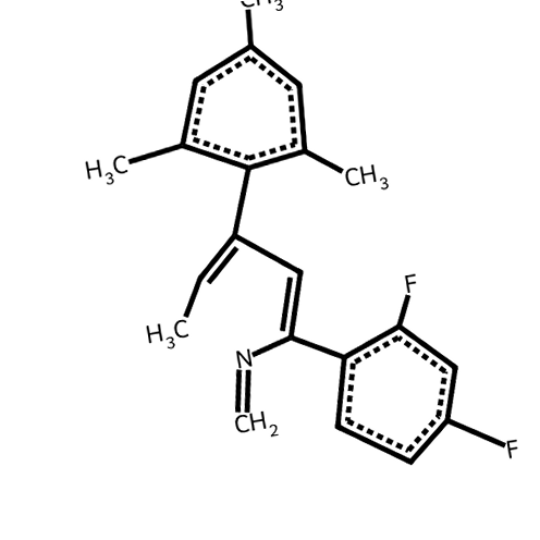 C=N/C(=C\C(=C/C)c1c(C)cc(C)cc1C)c1ccc(F)cc1F